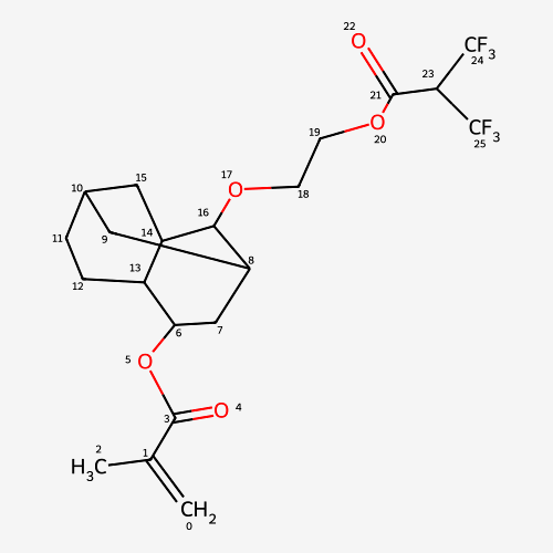 C=C(C)C(=O)OC1CC2CC3CCC1C(C3)C2OCCOC(=O)C(C(F)(F)F)C(F)(F)F